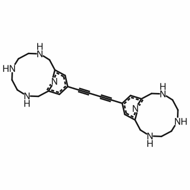 C(C#Cc1cc2nc(c1)CNCCNCCNC2)#Cc1cc2nc(c1)CNCCNCCNC2